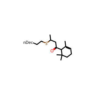 CCCCCCCCCCCCSC(C)CC(=O)C1C(C)=CCCC1(C)C